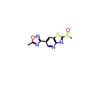 Cc1nc(-c2cnc3nc([S+](C)[O-])sc3c2)no1